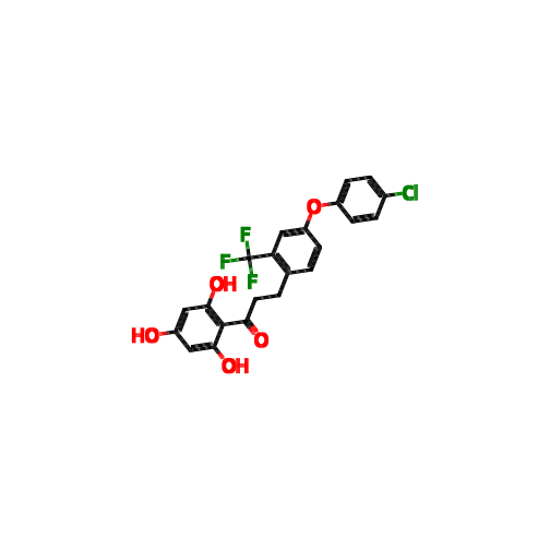 O=C(CCc1ccc(Oc2ccc(Cl)cc2)cc1C(F)(F)F)c1c(O)cc(O)cc1O